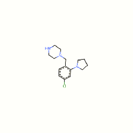 Clc1ccc(CN2CCNCC2)c(N2CCCC2)c1